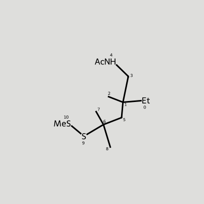 CCC(C)(CNC(C)=O)CC(C)(C)SSC